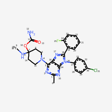 Cc1nc(N2CCC(NC(C)C)(OC(N)=O)CC2)c2nc(-c3ccccc3F)n(-c3ccc(Cl)cc3)c2n1